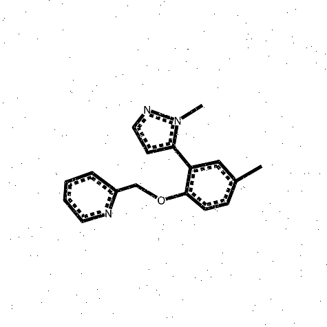 Cc1ccc(OCc2ccccn2)c(-c2ccnn2C)c1